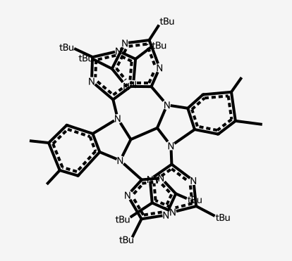 Cc1cc2c(cc1C)N(c1nc(C(C)(C)C)nc(C(C)(C)C)n1)C(C1N(c3nc(C(C)(C)C)nc(C(C)(C)C)n3)c3cc(C)c(C)cc3N1c1nc(C(C)(C)C)nc(C(C)(C)C)n1)N2c1nc(C(C)(C)C)nc(C(C)(C)C)n1